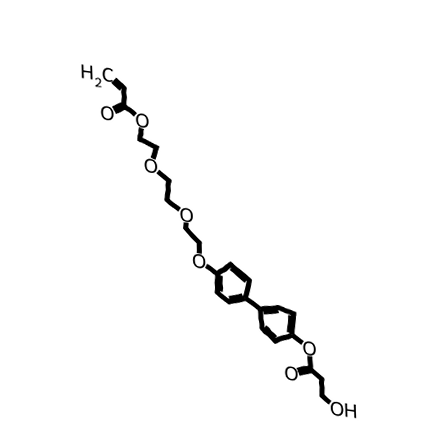 C=CC(=O)OCCOCCOCCOc1ccc(-c2ccc(OC(=O)CCO)cc2)cc1